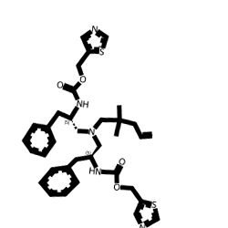 C=CCC(C)(C)CN(C[C@H](Cc1ccccc1)NC(=O)OCc1cncs1)C[C@H](Cc1ccccc1)NC(=O)OCc1cncs1